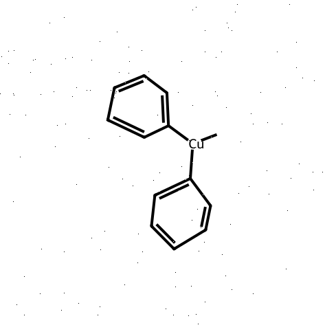 [CH3][Cu]([c]1ccccc1)[c]1ccccc1